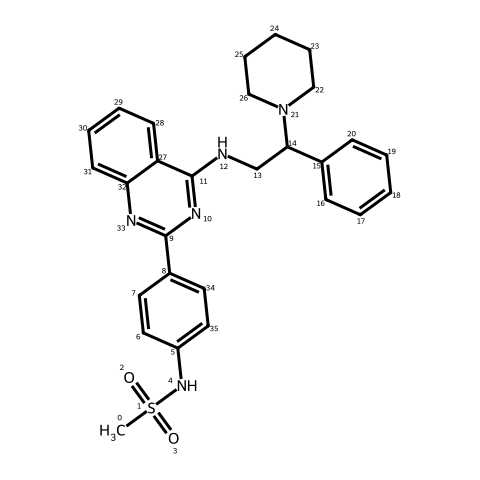 CS(=O)(=O)Nc1ccc(-c2nc(NCC(c3ccccc3)N3CCCCC3)c3ccccc3n2)cc1